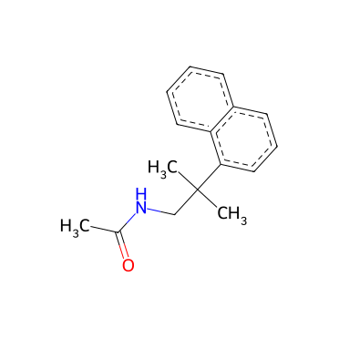 CC(=O)NCC(C)(C)c1cccc2ccccc12